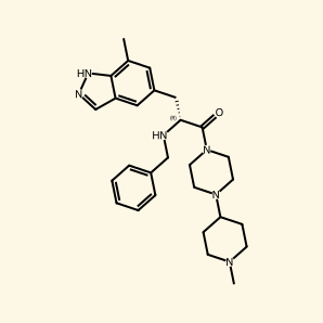 Cc1cc(C[C@@H](NCc2ccccc2)C(=O)N2CCN(C3CCN(C)CC3)CC2)cc2cn[nH]c12